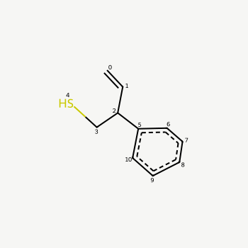 C=CC(CS)c1ccccc1